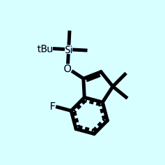 CC1(C)C=C(O[Si](C)(C)C(C)(C)C)c2c(F)cccc21